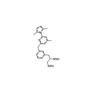 CNCC(Cc1cccc(Cc2cc(C)cc(-n3c(C)ccc3C)n2)c1)NC